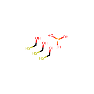 OCS.OCS.OCS.OP(O)O